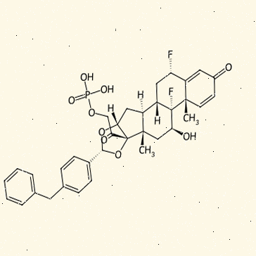 C[C@]12C=CC(=O)C=C1[C@@H](F)C[C@H]1[C@@H]3C[C@H]4O[C@@H](c5ccc(Cc6ccccc6)cc5)O[C@@]4(C(=O)COP(=O)(O)O)[C@@]3(C)C[C@H](O)[C@@]12F